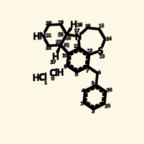 Cl.Cl.c1ccc(Cc2ccc3c4c2SCCCN4[C@H]2CCNC[C@@H]32)cc1